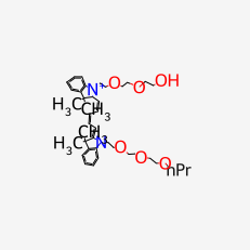 CCCOCCOCCOCCN1/C(=C/C=C\C=C/C2=[N+](CCOCCOCCO)c3ccccc3C2(C)C)C(C)(C)c2ccccc21